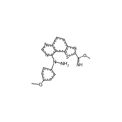 COC(=N)c1nc2ccc3ncnc(N(N)c4ccc(OC)cc4)c3c2s1